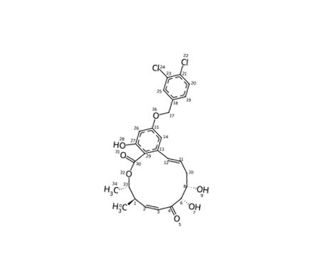 C[C@@H]1/C=C\C(=O)[C@@H](O)[C@@H](O)C/C=C/c2cc(OCc3ccc(Cl)c(Cl)c3)cc(O)c2C(=O)O[C@H]1C